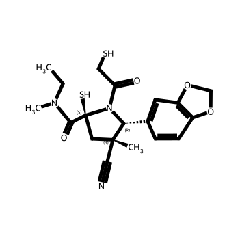 CCN(C)C(=O)[C@@]1(S)C[C@@](C)(C#N)[C@@H](c2ccc3c(c2)OCO3)N1C(=O)CS